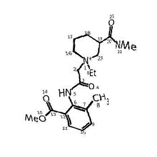 CC[N+]1(CC(=O)Nc2c(C)cccc2C(=O)OC)CCCC(C(=O)NC)C1